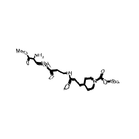 COC(=O)[C@@H](N)CNC(=O)CCNC(=O)CCC1CCN(C(=O)OC(C)(C)C)CC1